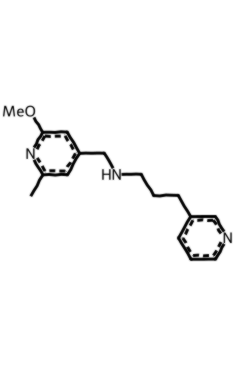 COc1cc(CNCCCc2cccnc2)cc(C)n1